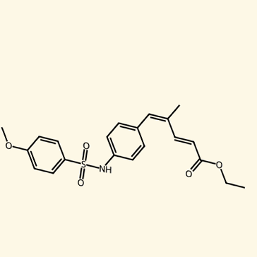 CCOC(=O)C=CC(C)=Cc1ccc(NS(=O)(=O)c2ccc(OC)cc2)cc1